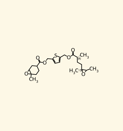 CC1O[C@@]1(C)CC[C@@H](C)C(=O)OCc1ccc(COC(=O)C2CCC3(C)OC3C2)s1